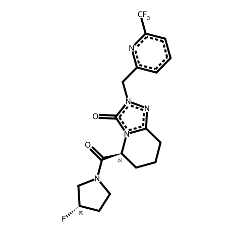 O=C([C@@H]1CCCc2nn(Cc3cccc(C(F)(F)F)n3)c(=O)n21)N1CC[C@H](F)C1